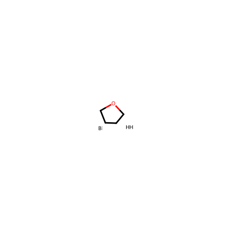 C1CCOC1.[B].[HH]